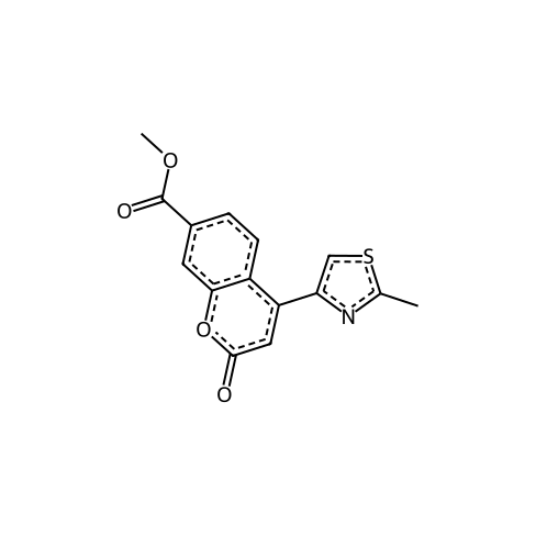 COC(=O)c1ccc2c(-c3csc(C)n3)cc(=O)oc2c1